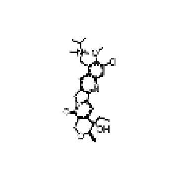 C=C1OCc2c(cc3n(c2=O)Cc2cc4c(C[N+](C)(C)C(C)C)c(OC)c(Cl)cc4nc2-3)[C@@]1(O)CC